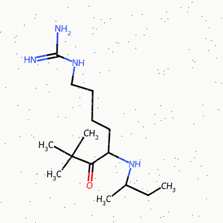 CCC(C)NC(CCCCNC(=N)N)C(=O)C(C)(C)C